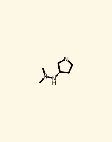 CN(C)N[C@@H]1CC[N]C1